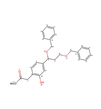 COC(=O)Cc1ccc(C(CCOCc2ccccc2)OCc2ccccc2)cc1O